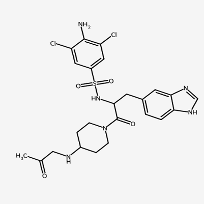 CC(=O)CNC1CCN(C(=O)C(Cc2ccc3[nH]cnc3c2)NS(=O)(=O)c2cc(Cl)c(N)c(Cl)c2)CC1